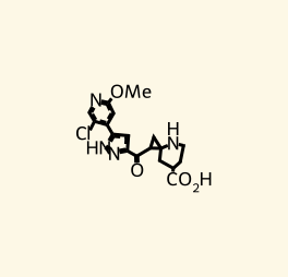 COc1cc(-c2cc(C(=O)C3CC34CC(C(=O)O)CCN4)n[nH]2)c(Cl)cn1